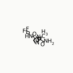 Cc1nn2c(C(=O)NC3CC(F)(F)C3)ccnc2c1C(N)=O